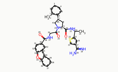 Cc1ccccc1[C@H]1C[C@@H](C(=O)NC(C)c2cc(C(=N)N)cs2)N(C(=O)CNC(=O)c2ccc3oc4ccccc4c3c2)C1